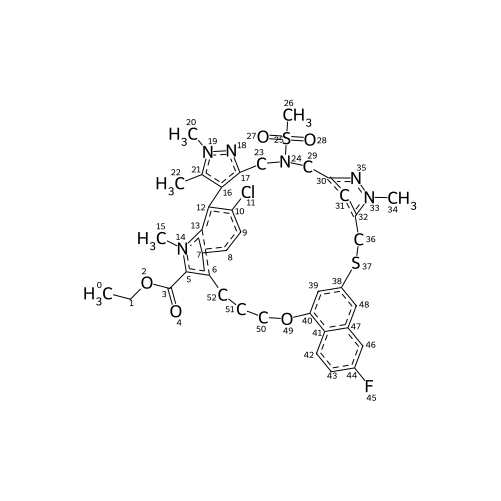 CCOC(=O)c1c2c3ccc(Cl)c(c3n1C)-c1c(nn(C)c1C)CN(S(C)(=O)=O)Cc1cc(n(C)n1)CSc1cc(c3ccc(F)cc3c1)OCCC2